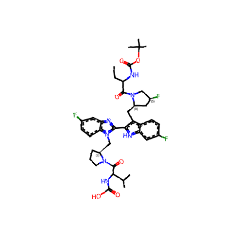 CCC(NC(=O)OC(C)(C)C)C(=O)N1C[C@@H](F)C[C@H]1Cc1c(-c2nc3cc(F)ccc3n2C[C@@H]2CCCN2C(=O)C(NC(=O)O)C(C)C)[nH]c2cc(F)ccc12